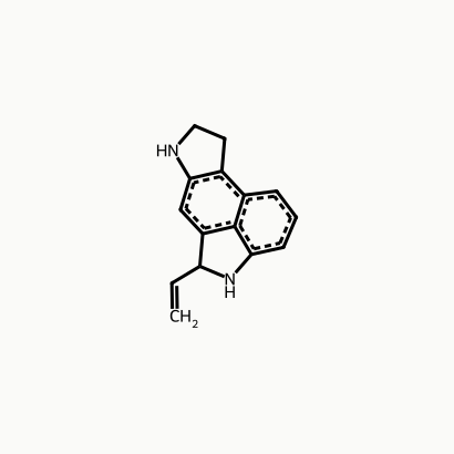 C=CC1Nc2cccc3c4c(cc1c23)NCC4